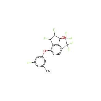 N#Cc1cc(F)cc(Oc2ccc3c4c2C(F)C(F)[C@]4(O)C(F)(F)C3(F)F)c1